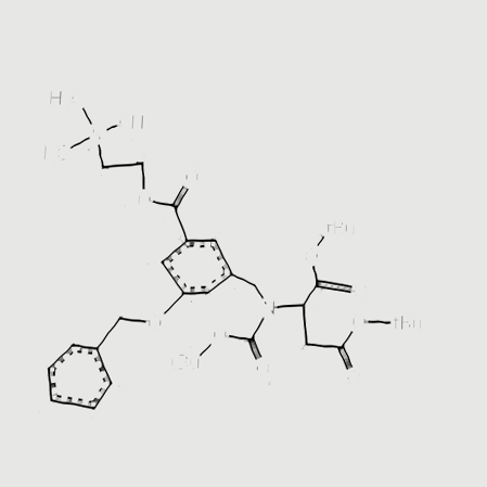 CC(C)(C)OC(=O)CC(C(=O)OC(C)(C)C)N(Cc1cc(OCc2ccccc2)cc(C(=O)OCC[Si](C)(C)C)c1)C(=O)OC(C)(C)C